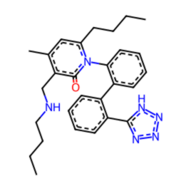 CCCCNCc1c(C)cc(CCCC)n(-c2ccccc2-c2ccccc2-c2nnn[nH]2)c1=O